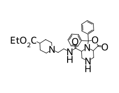 CCOC(=O)C1CCN(CCNC(=O)C2CNCC3C(=O)OC(c4ccccc4)(c4ccccc4)N23)CC1